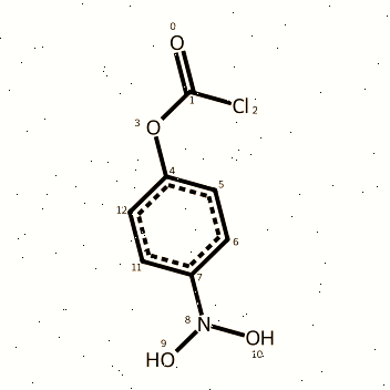 O=C(Cl)Oc1ccc(N(O)O)cc1